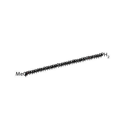 COP(#P)P=PP=PP=PP=PP=PP=PP=PP=PP=PP=PP=PP=PP=PP=PP=PP=PP=PP=PP=PP=PP=PP=PP=PP=PP=PP=PP=PP=PP=PP=PP=PP=PP=PP=PP